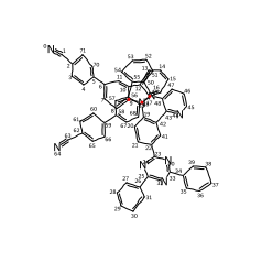 N#Cc1ccc(-c2ccc3c(c2)c2ccccc2n3-c2ccc(-c3nc(-c4ccccc4)nc(-c4ccccc4)n3)cc2-c2ncccc2-n2c3ccccc3c3cc(-c4ccc(C#N)cc4)ccc32)cc1